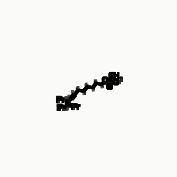 CC(C)[Si](C#CCCCCCCOS(C)(=O)=O)(C(C)C)C(C)C